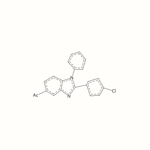 CC(=O)c1ccc2c(c1)nc(-c1ccc(Cl)cc1)n2-c1ccccc1